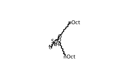 CCCCCCCCC=CCCCCCCCCOCC(COC(=S)NCCN(C)C)OCCCCCCCCC=CCCCCCCCC